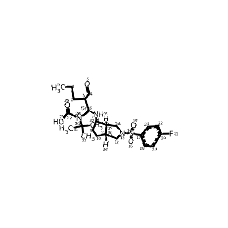 CCCC(C=O)[C@@H](N[C@@H]1CC[C@H]2CN(S(=O)(=O)c3ccc(F)cc3)C[C@H]21)N(C(=O)O)C(C)(C)C